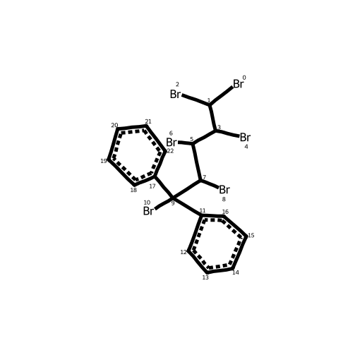 BrC(Br)C(Br)C(Br)C(Br)C(Br)(c1ccccc1)c1ccccc1